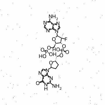 C[C@@]1(F)C(n2cnc3c(N)ncnc32)O[C@H](COP(=O)(O)O)[C@H]1OP(=O)(O)OC[C@@H]1CCC(n2cnc3c(=O)[nH]c(N)nc32)O1